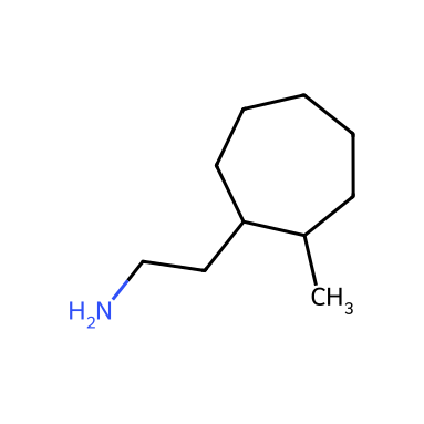 CC1CCCCCC1CCN